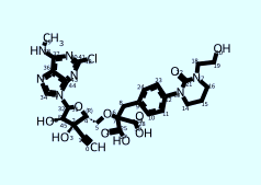 C#C[C@@]1(O)[C@@H](COC(Cc2ccc(N3CCCN(CCO)C3=O)cc2)(C(=O)O)C(=O)O)OC(n2cnc3c(NC)nc(Cl)nc32)[C@@H]1O